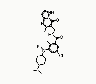 CCN(c1cc(Cl)cc(C(=O)NCc2c(C)nc3cc[nH]n3c2=O)c1C)C1CCC(N(C)C)CC1